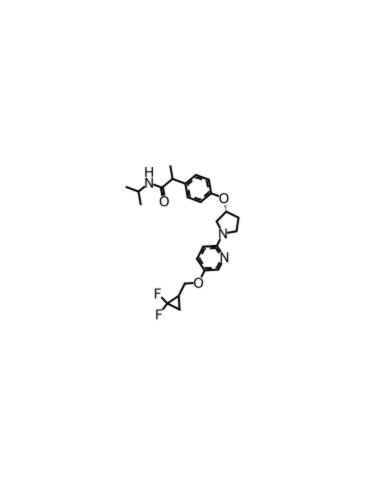 CC(C)NC(=O)C(C)c1ccc(O[C@@H]2CCN(c3ccc(OCC4CC4(F)F)cn3)C2)cc1